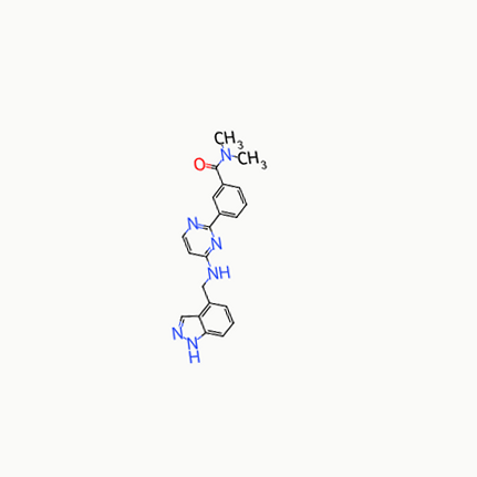 CN(C)C(=O)c1cccc(-c2nccc(NCc3cccc4[nH]ncc34)n2)c1